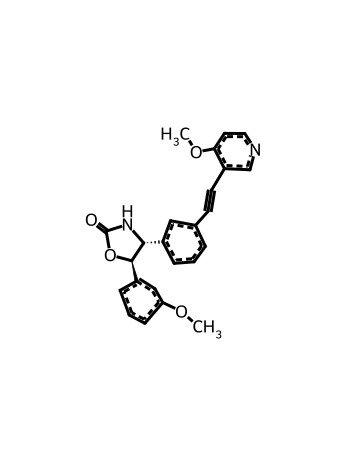 COc1cccc([C@H]2OC(=O)N[C@@H]2c2cccc(C#Cc3cnccc3OC)c2)c1